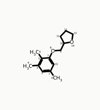 Cc1cc(C)c(C)c(OCC2CCCO2)c1